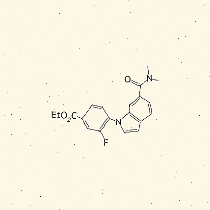 CCOC(=O)c1ccc(-n2ccc3ccc(C(=O)N(C)C)cc32)c(F)c1